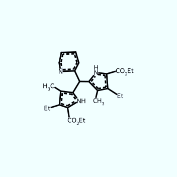 CCOC(=O)c1[nH]c(C(c2ccccn2)c2[nH]c(C(=O)OCC)c(CC)c2C)c(C)c1CC